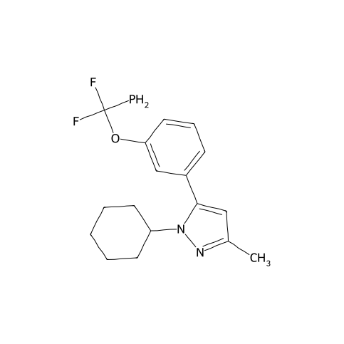 Cc1cc(-c2cccc(OC(F)(F)P)c2)n(C2CCCCC2)n1